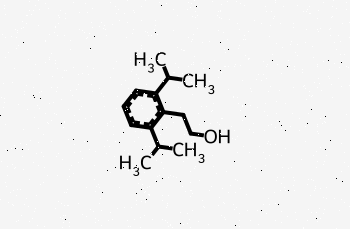 CC(C)c1cccc(C(C)C)c1CCO